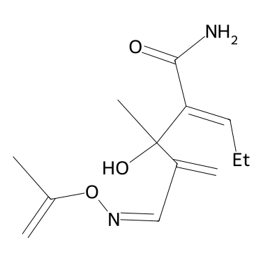 C=C(C)O/N=C\C(=C)C(C)(O)/C(=C\CC)C(N)=O